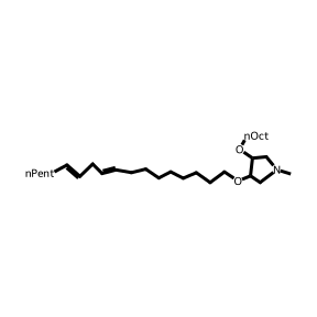 CCCCCC=CCC=CCCCCCCCCOC1CN(C)CC1OCCCCCCCC